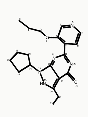 CCCOc1cnccc1-c1nc2n(C3CCCC3)[nH]c(CC)c-2c(=O)n1